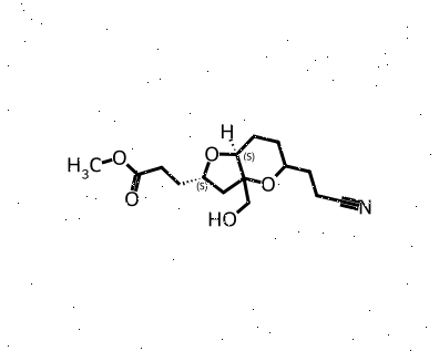 COC(=O)CC[C@H]1CC2(CO)OC(CCC#N)CC[C@@H]2O1